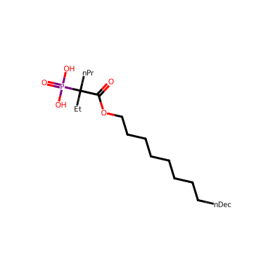 CCCCCCCCCCCCCCCCCCOC(=O)C(CC)(CCC)P(=O)(O)O